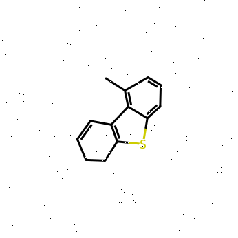 Cc1cccc2sc3c(c12)C=CCC3